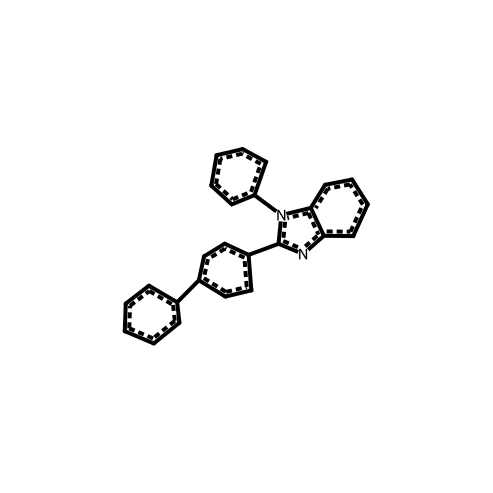 c1ccc(-c2ccc(-c3nc4ccccc4n3-c3ccccc3)cc2)cc1